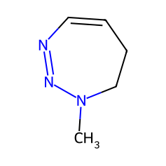 CN1CCC=CN=N1